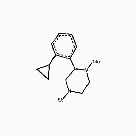 CCN1CCN(C(C)(C)C)C(c2ccccc2C2CC2)C1